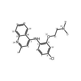 Cc1cc(Nc2ccc(Cl)cc2OCCN(C)C)c2ccccc2n1